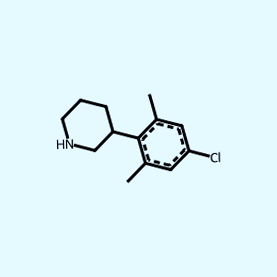 Cc1cc(Cl)cc(C)c1C1CCCNC1